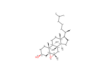 CC(C)CCC[C@@H](C)[C@H]1CC[C@H]2[C@@H]3C[C@@H]4O[C@@]45C[C@@H](O)CC[C@]5(C)[C@H]3CC[C@]12C